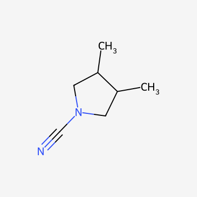 CC1CN(C#N)CC1C